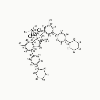 CCC1=Cc2c(-c3ccc(C4CCCCC4)cc3)cc(C)cc2[CH]1[Zr]([Cl])([Cl])([CH]1C(C)=Cc2c(-c3ccc(C4CCCCC4)cc3)cc(C)cc21)[SiH](C)C